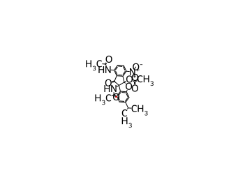 CC(=O)Nc1ccc([N+](=O)[O-])c2c1C(=O)C1(NC(C)=O)c3ccc(C(C)C)cc3OC21OC(C)=O